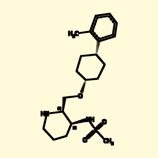 Cc1ccccc1[C@H]1CC[C@@H](OC[C@@H]2NCCC[C@@H]2NS(C)(=O)=O)CC1